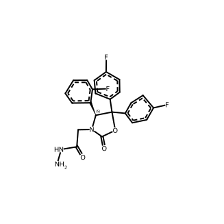 NNC(=O)CN1C(=O)OC(c2ccc(F)cc2)(c2ccc(F)cc2)[C@@H]1c1ccccc1F